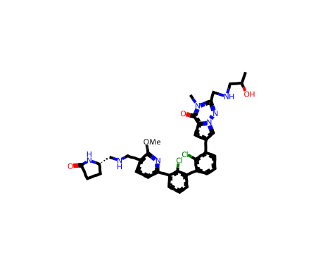 COc1nc(-c2cccc(-c3cccc(-c4cc5c(=O)n(C)c(CNCC(C)O)nn5c4)c3Cl)c2Cl)ccc1CNC[C@@H]1CCC(=O)N1